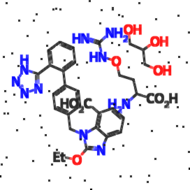 CCOc1nc2cccc(C(=O)O)c2n1Cc1ccc(-c2ccccc2-c2nnn[nH]2)cc1.N=C(N)NOCCC(N)C(=O)O.OCC(O)CO